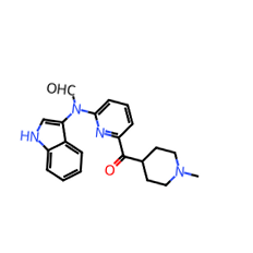 CN1CCC(C(=O)c2cccc(N(C=O)c3c[nH]c4ccccc34)n2)CC1